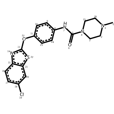 CN1CCN(C(=O)Nc2ccc(Oc3nc4ccc(Cl)cc4s3)cc2)CC1